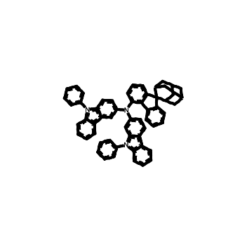 c1ccc(-n2c3ccccc3c3cc(N(c4ccc5c6ccccc6n(-c6ccccc6)c5c4)c4cccc5c4-c4ccccc4C54C5CC6CC(C5)CC4C6)ccc32)cc1